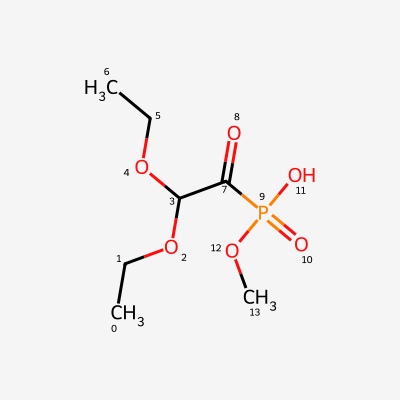 CCOC(OCC)C(=O)P(=O)(O)OC